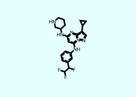 FC(F)C(F)c1cccc(Nc2cc(NC3CCCNC3)nc3c(C4CC4)cnn23)c1